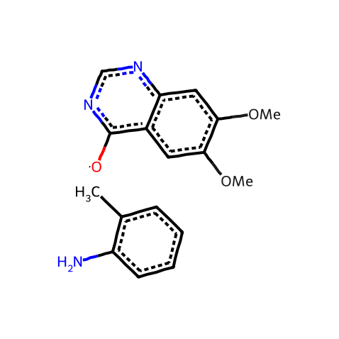 COc1cc2ncnc([O])c2cc1OC.Cc1ccccc1N